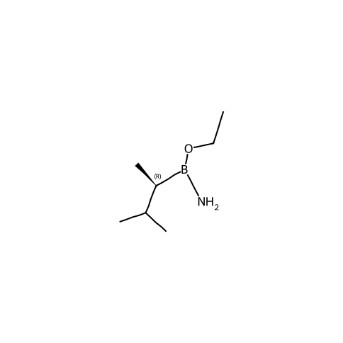 CCOB(N)[C@H](C)C(C)C